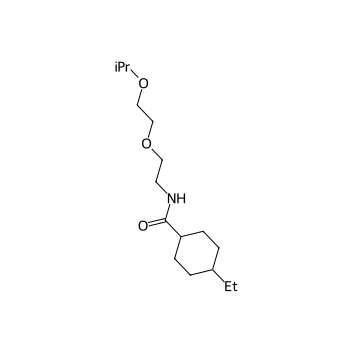 CCC1CCC(C(=O)NCCOCCOC(C)C)CC1